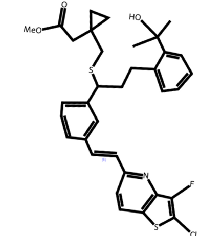 COC(=O)CC1(CSC(CCc2ccccc2C(C)(C)O)c2cccc(/C=C/c3ccc4sc(Cl)c(F)c4n3)c2)CC1